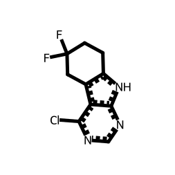 FC1(F)CCc2[nH]c3ncnc(Cl)c3c2C1